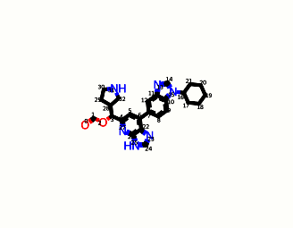 O=COC(c1cc(-c2ccc3c(c2)ncn3C2CCCCC2)c2nc[nH]c2n1)C1CCNC1